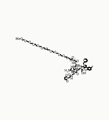 COCCOCCOCCOCCOCCOCCOCCOCCOCCOCCOCCOCCC(=O)N[C@H](C)C(=O)N[C@H](C)C(=O)N[C@@H](CC(N)=O)C(=O)N[C@@H](CCN(C(=O)CO)[C@@H](c1cc(-c2cc(F)ccc2F)cn1Cc1ccccc1)C(C)(C)C)C(=O)NCCNC(=O)CN1C(=O)C=CC1=O